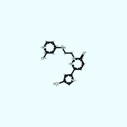 Cc1csc(-c2ccc(=O)n(CCNc3ccnc(Cl)c3)n2)c1